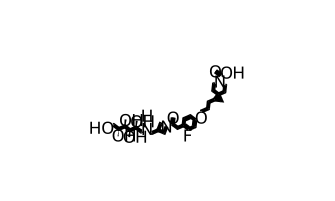 O=C(O)N1CCC2(CC1)CC2CCCOc1ccc(CC(=O)N2CC(CNC[C@H](O)[C@@H](O)[C@H](O)[C@H](O)CO)C2)c(F)c1